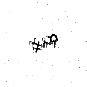 CC(F)(F)C(C)(NC(=O)Nc1c(F)cccc1F)C(F)(F)F